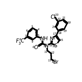 O=C(Nc1cccc(C(F)(F)F)c1)N(CCCBr)c1nc(-c2cccc(Cl)c2)cs1